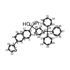 CC(C)C(O)(c1ccc2cc(-c3cccs3)ccc2c1)c1cn(C(c2ccccc2)(c2ccccc2)c2ccccc2)cn1